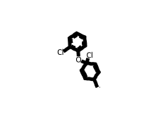 [CH2]C1C=CC(Cl)(Oc2ccccc2Cl)C=C1